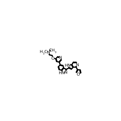 CN(C)CCOc1cncc(-c2ccc3[nH]nc(-c4cc5c(-c6ccoc6)nccc5[nH]4)c3c2)c1